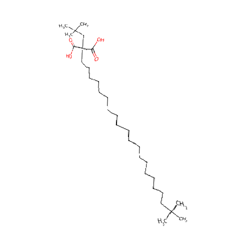 CC(C)(C)CCCCCCCCCCCCCCCCCCCC(CC(C)(C)C)(C(=O)O)C(=O)O